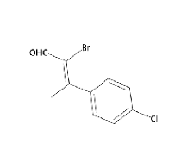 C/C(=C(/Br)C=O)c1ccc(Cl)cc1